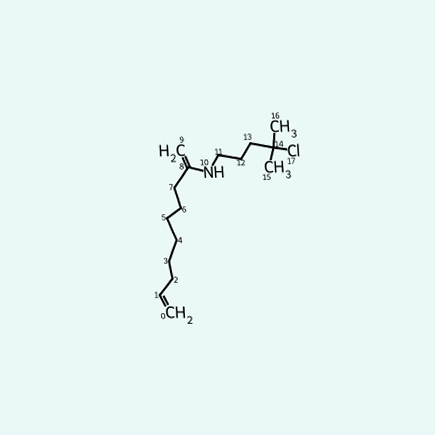 C=CCCCCCCC(=C)NCCCC(C)(C)Cl